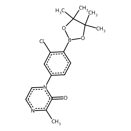 Cc1nccn(-c2ccc(B3OC(C)(C)C(C)(C)O3)c(Cl)c2)c1=O